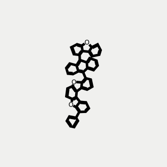 c1ccc(-c2cccc3c2oc2ccc4oc5c(-c6c7ccccc7c(-c7cccc8oc9ccccc9c78)c7ccccc67)cccc5c4c23)cc1